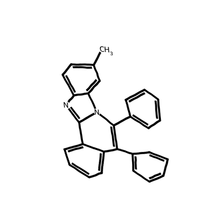 Cc1ccc2nc3c4ccccc4c(-c4ccccc4)c(-c4ccccc4)n3c2c1